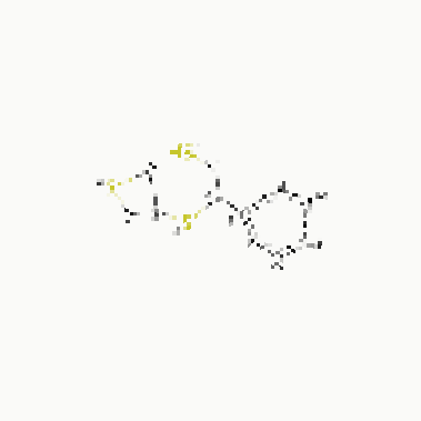 SCC(SC1CSC1)c1ccccc1